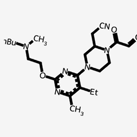 C=CC(=O)N1CCN(c2nc(OCCN(C)CCCC)nc(C)c2CC)CC1CC#N